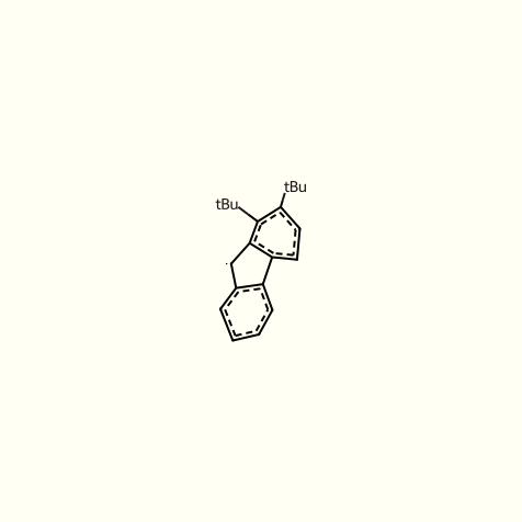 CC(C)(C)c1ccc2c(c1C(C)(C)C)[CH]c1ccccc1-2